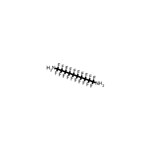 NC(F)(F)C(F)(F)C(F)(F)C(F)(F)C(F)(F)C(F)(F)C(F)(F)C(F)(F)C(F)(F)C(N)(F)F